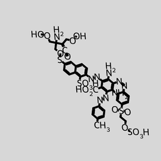 Cc1ccc(N=Nc2c(N)c(/N=N\c3ccc(S(=O)(=O)CCOS(=O)(=O)O)cc3)c(N)c(N=Nc3ccc4cc(SOCC(N)(COO)C(=C=O)COO)ccc4c3S(=O)(=O)O)c2C(=O)O)cc1